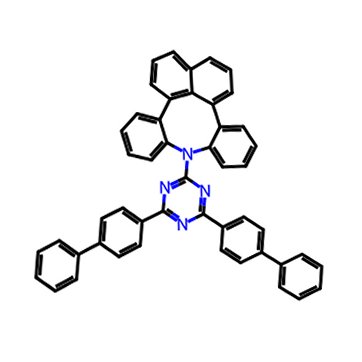 c1ccc(-c2ccc(-c3nc(-c4ccc(-c5ccccc5)cc4)nc(N4c5ccccc5-c5cccc6cccc(c56)-c5ccccc54)n3)cc2)cc1